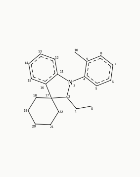 CCC1N(c2ccccc2C)c2ccccc2C12CCCCC2